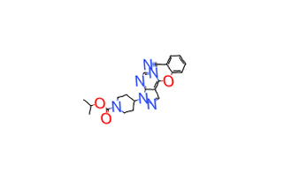 CC(C)OC(=O)N1CCC(n2ncc3c(Oc4ccccc4C#N)ncnc32)CC1